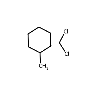 CC1CCCCC1.ClCCl